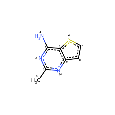 Cc1nc(N)c2sccc2n1